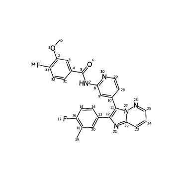 COc1cc(C(=O)Nc2cc(-c3c(-c4ccc(F)c(C)c4)nc4cccnn34)ccn2)ccc1F